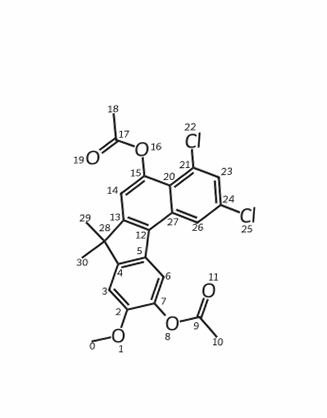 COc1cc2c(cc1OC(C)=O)-c1c(cc(OC(C)=O)c3c(Cl)cc(Cl)cc13)C2(C)C